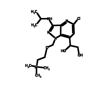 CC(C)Nc1nn(COCC[Si](C)(C)C)c2c(C(O)CO)cc(Cl)nc12